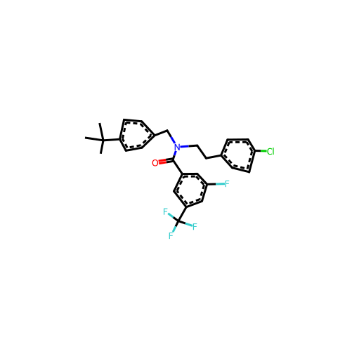 CC(C)(C)c1ccc(CN(CCc2ccc(Cl)cc2)C(=O)c2cc(F)cc(C(F)(F)F)c2)cc1